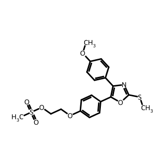 COc1ccc(-c2nc(SC)oc2-c2ccc(OCCOS(C)(=O)=O)cc2)cc1